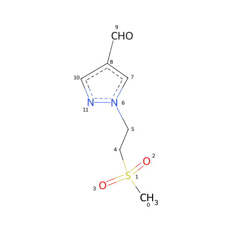 CS(=O)(=O)CCn1cc(C=O)cn1